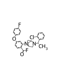 CC(c1ccccc1Cl)N1CC2CC1CN2c1cc(Oc2ccc(F)cc2)ccc1C(=O)F